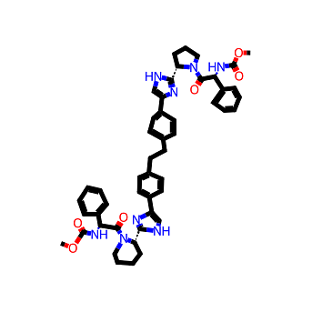 COC(=O)N[C@@H](C(=O)N1CCCC[C@H]1c1nc(-c2ccc(CCc3ccc(-c4c[nH]c([C@@H]5CCCN5C(=O)[C@H](NC(=O)OC)c5ccccc5)n4)cc3)cc2)c[nH]1)c1ccccc1